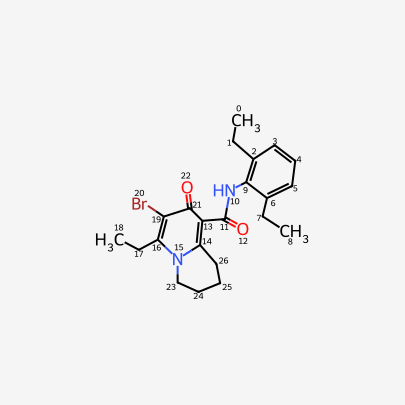 CCc1cccc(CC)c1NC(=O)c1c2n(c(CC)c(Br)c1=O)CCCC2